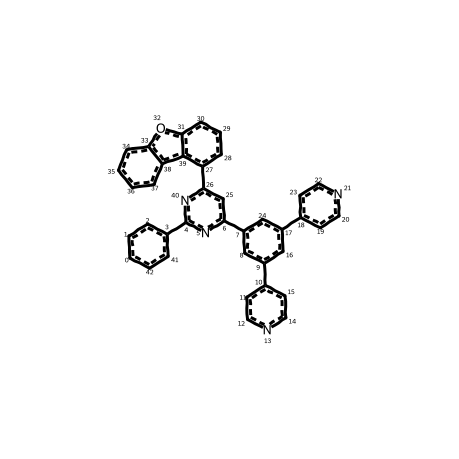 c1ccc(-c2nc(-c3cc(-c4ccncc4)cc(-c4ccncc4)c3)cc(-c3cccc4oc5ccccc5c34)n2)cc1